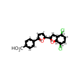 O=C(O)c1ccc(-c2ccc(-c3cc4c(Cl)ccc(Cl)c4o3)o2)cc1